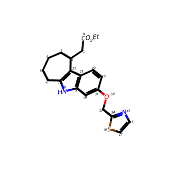 CCOC(=O)CC1CCCCc2[nH]c3cc(OCc4nccs4)ccc3c21